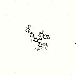 C[C@@H]1CN(c2ccc(-c3c(F)cc(N4C[C@@H](C)N(C)[C@@H](C)C4)c(NC(=O)c4c[nH]c(=O)cc4C(F)F)c3F)cn2)CCO1